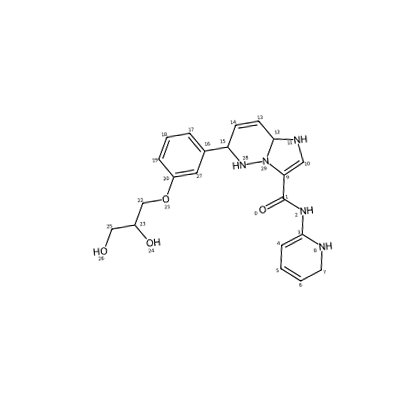 O=C(NC1=CC=CCN1)C1=CNC2C=CC(c3cccc(OCC(O)CO)c3)NN12